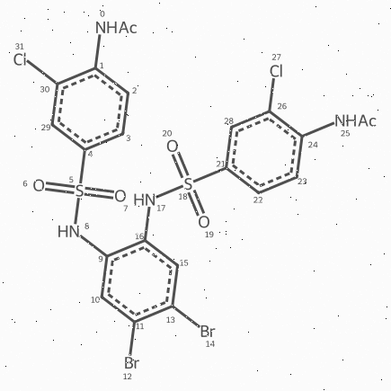 CC(=O)Nc1ccc(S(=O)(=O)Nc2cc(Br)c(Br)cc2NS(=O)(=O)c2ccc(NC(C)=O)c(Cl)c2)cc1Cl